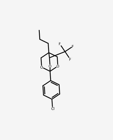 CCCC12COC(c3ccc(Cl)cc3)(OC1)OC2C(F)(F)F